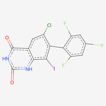 O=c1[nH]c(=O)c2cc(Cl)c(-c3c(F)cc(F)cc3F)c(I)c2[nH]1